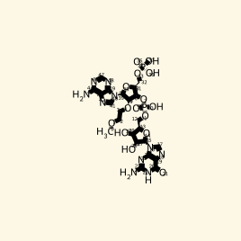 COCCO[C@H]1C(OP(=O)(O)OC[C@H]2O[C@@H](n3cnc4c(=O)[nH]c(N)nc43)[C@@H](O)C2O)[C@@H](COP(=O)(O)O)O[C@H]1n1cnc2c(N)ncnc21